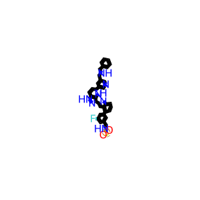 CS(=O)(=O)NCc1cc(F)cc(-c2cccc3[nH]c(-c4n[nH]c5ccc(-c6cncc(CNCc7ccccc7)c6)nc45)cc23)c1